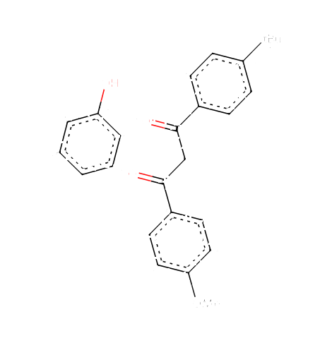 COc1ccc(C(=O)CC(=O)c2ccc(C(C)(C)C)cc2)cc1.Oc1ccccc1